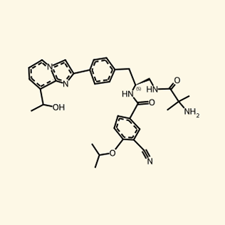 CC(C)Oc1ccc(C(=O)N[C@H](CNC(=O)C(C)(C)N)Cc2ccc(-c3cn4cccc(C(C)O)c4n3)cc2)cc1C#N